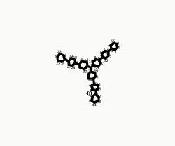 c1ccc(-c2ccc(-c3ccc(C(c4ccc(-c5ccc(-c6ccccc6)cc5)cc4)c4ccc(-c5ccc6c(c5)oc5ccccc56)cc4)cc3)cc2)cc1